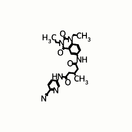 CCn1c(=O)c2cc(NC(=O)CC(C)CC(=O)Nc3ccc(C#N)nc3)ccc2n(CC)c1=O